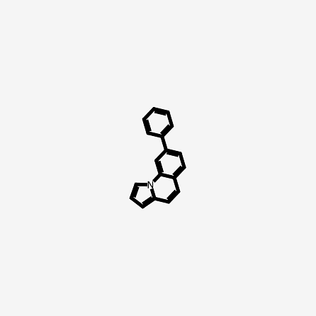 c1ccc(-c2ccc3ccc4cccn4c3c2)cc1